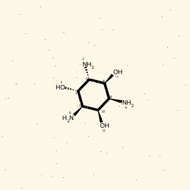 N[C@H]1[C@H](O)[C@H](N)[C@@H](O)[C@@H](N)[C@H]1O